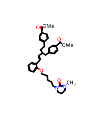 COC(=O)c1ccc(CCC(C=Cc2ccccc2OCCCCCN2CCCN(C)C2=O)Cc2ccc(C(=O)OC)cc2)cc1